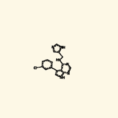 Clc1cccc(-c2c[nH]c3ncnc(NCc4cnc[nH]4)c23)c1